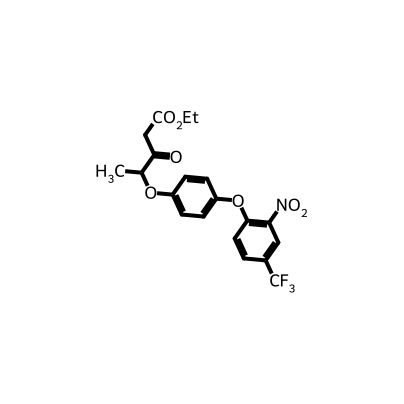 CCOC(=O)CC(=O)C(C)Oc1ccc(Oc2ccc(C(F)(F)F)cc2[N+](=O)[O-])cc1